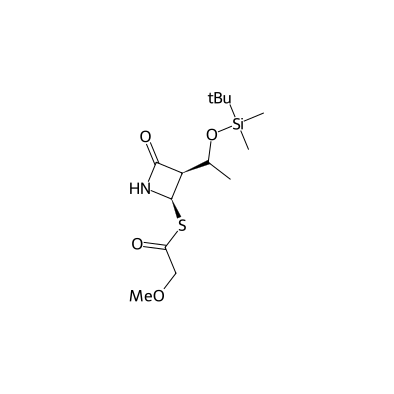 COCC(=O)S[C@H]1NC(=O)[C@H]1C(C)O[Si](C)(C)C(C)(C)C